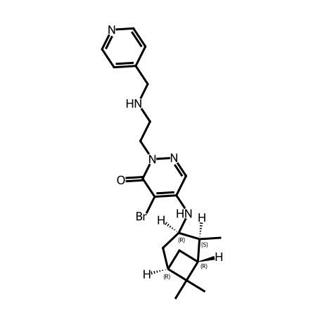 C[C@H]1[C@H]2C[C@H](C[C@H]1Nc1cnn(CCNCc3ccncc3)c(=O)c1Br)C2(C)C